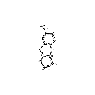 Cc1ccc2c(c1)Cc1ncccc1C2